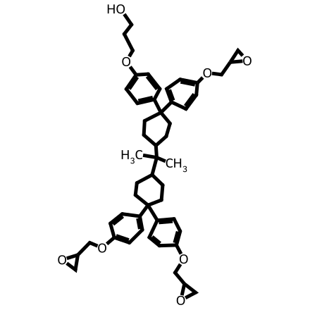 CC(C)(C1CCC(c2ccc(OCCCO)cc2)(c2ccc(OCC3CO3)cc2)CC1)C1CCC(c2ccc(OCC3CO3)cc2)(c2ccc(OCC3CO3)cc2)CC1